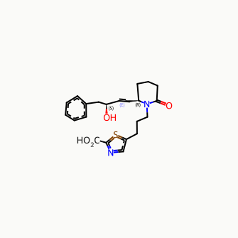 O=C(O)c1ncc(CCCN2C(=O)CCC[C@@H]2/C=C/[C@@H](O)Cc2ccccc2)s1